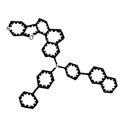 c1ccc(-c2ccc(N(c3ccc(-c4ccc5ccccc5c4)cc3)c3ccc4c(ccc5ccc6c7ccncc7oc6c54)c3)cc2)cc1